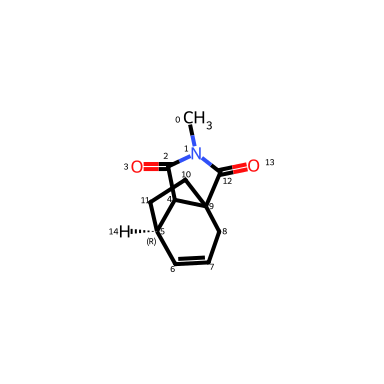 CN1C(=O)C2[C@H]3C=CCC2(CC3)C1=O